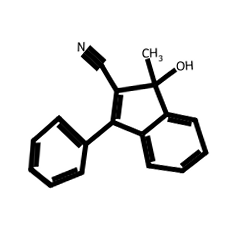 CC1(O)C(C#N)=C(c2ccccc2)c2ccccc21